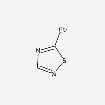 C[CH]c1ncns1